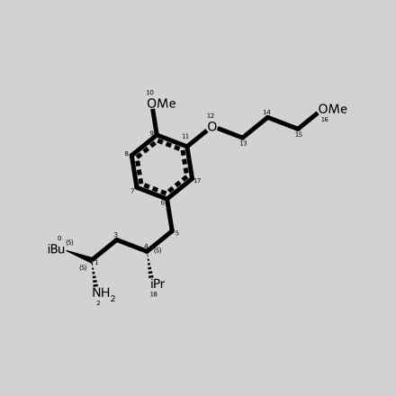 CC[C@H](C)[C@@H](N)C[C@H](Cc1ccc(OC)c(OCCCOC)c1)C(C)C